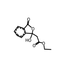 CCOC(=O)CC1(O)OC(=O)c2ccccc21